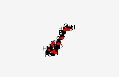 COC1CN(SNc2ccc(F)c(Oc3ccc4ncn(-c5cnc(N6CCN(C(=O)CN7CCC(c8ccc(NC9CCC(=O)NC9=O)cc8F)CC7)CC6)nc5)c(=O)c4c3)c2C#N)C1